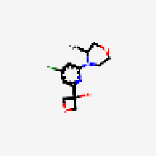 CC1COCCN1c1cc(Cl)cc(C2(O)COC2)n1